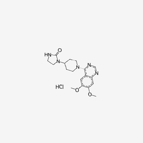 COc1cc2ncnc(N3CCC(N4CCNC4=O)CC3)c2cc1OC.Cl